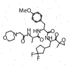 COc1ccc(CC(NC(=O)C(C)NC(=O)CN2CCOCC2)C(=O)NC(CC2CCC(F)(F)C2)C(=O)C2(C)CO2)cc1